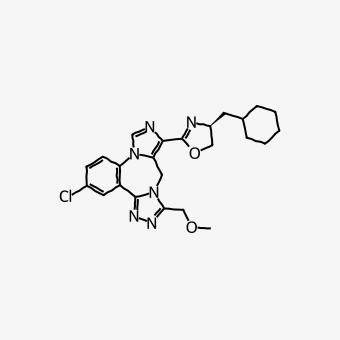 COCc1nnc2n1Cc1c(C3=N[C@@H](CC4CCCCC4)CO3)ncn1-c1ccc(Cl)cc1-2